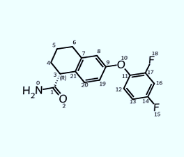 NC(=O)[C@@H]1CCCc2cc(Oc3ccc(F)cc3F)ccc21